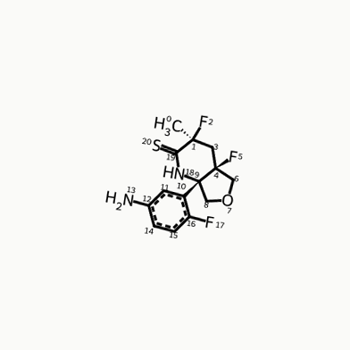 C[C@]1(F)C[C@]2(F)COC[C@]2(c2cc(N)ccc2F)NC1=S